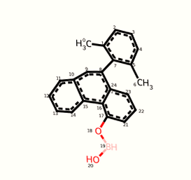 Cc1cccc(C)c1-c1cc2ccccc2c2c(OBO)cccc12